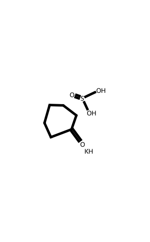 O=C1CCCCC1.O=S(O)O.[KH]